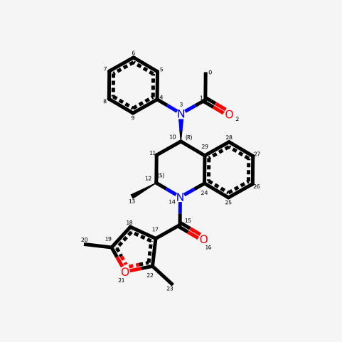 CC(=O)N(c1ccccc1)[C@@H]1C[C@H](C)N(C(=O)c2cc(C)oc2C)c2ccccc21